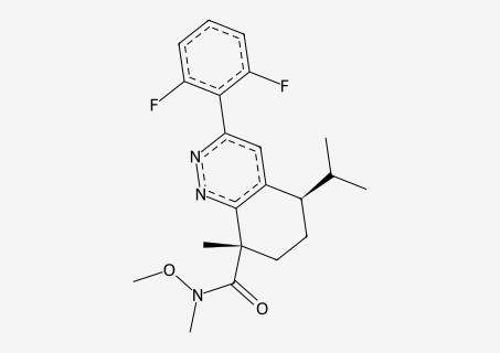 CON(C)C(=O)[C@@]1(C)CC[C@H](C(C)C)c2cc(-c3c(F)cccc3F)nnc21